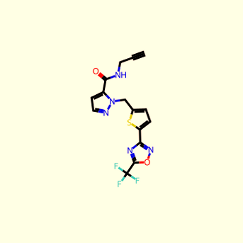 C#CCNC(=O)c1ccnn1Cc1ccc(-c2noc(C(F)(F)F)n2)s1